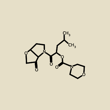 CC(C)CC(OC(=O)N1CCOCC1)C(=O)N1CCC2OCC(=O)C21